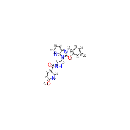 COc1ccc(C(=O)NCCn2c(=O)n(Cc3ccc(C)cc3)c3cccnc32)cn1